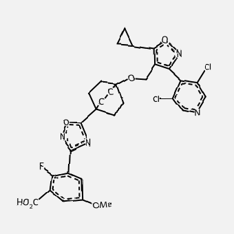 COc1cc(C(=O)O)c(F)c(-c2noc(C34CCC(OCc5c(-c6c(Cl)cncc6Cl)noc5C5CC5)(CC3)CC4)n2)c1